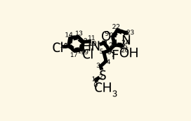 CCSCCC[C@@](F)(C(=O)NCc1ccc(Cl)cc1Cl)c1cccnc1O